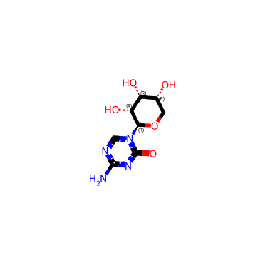 Nc1ncn([C@@H]2OC[C@@H](O)[C@@H](O)[C@H]2O)c(=O)n1